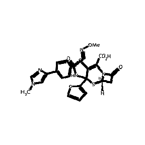 CON=CC(=O)NC1(c2ccco2)S[C@H]2CC(=O)N2C(C(=O)O)=C1Sc1ccc(-c2cn(C)cn2)cc1